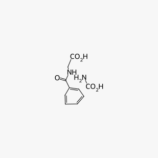 NC(=O)O.O=C(O)CNC(=O)c1ccccc1